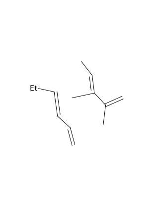 C=C(C)/C(C)=C/C.C=C/C=C/CC